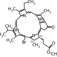 CCC1=C(C)c2cc3[nH]c(c(C)c3C(C)C)c(Br)c3nc(c4c5[nH]c(cc1n2)c(C)c5C(=O)C4)[C@@H](CCC(=O)OC)[C@@H]3C